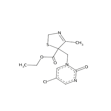 CCOC(=O)C1(Cn2cc(Cl)cnc2=O)SCN=C1C